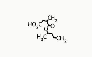 C=CCC(C)OC(=O)C(=C)CC(=O)O